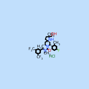 Cc1cc(F)ccc1[C@H]1C[C@@]2(CCN1C(=O)N(C)[C@H](C)c1cc(C(F)(F)F)cc(C(F)(F)F)c1)CC[C@@](C)(CO)N2.Cl